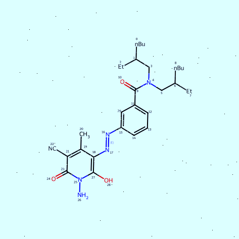 CCCCC(CC)CN(CC(CC)CCCC)C(=O)c1cccc(/N=N/c2c(C)c(C#N)c(=O)n(N)c2O)c1